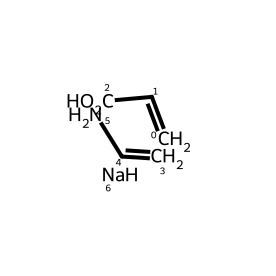 C=CC(=O)O.C=CN.[NaH]